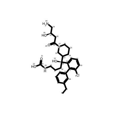 CCc1cccc(-c2c(Cl)cccc2[C@](O)(CCCNC(=O)O)C2CCCN(C(=O)C[C@@H](O)CN)C2)c1